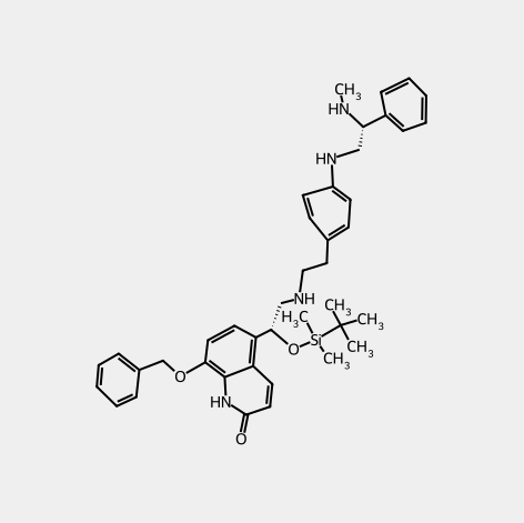 CN[C@@H](CNc1ccc(CCNC[C@H](O[Si](C)(C)C(C)(C)C)c2ccc(OCc3ccccc3)c3[nH]c(=O)ccc23)cc1)c1ccccc1